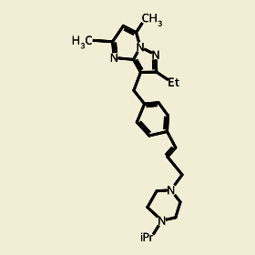 CCc1nn2c(C)cc(C)nc2c1Cc1ccc(/C=C/CN2CCN(C(C)C)CC2)cc1